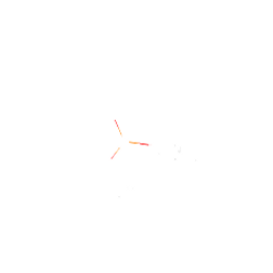 OP(O)O.[Al+3].[Ca+2].[H+]